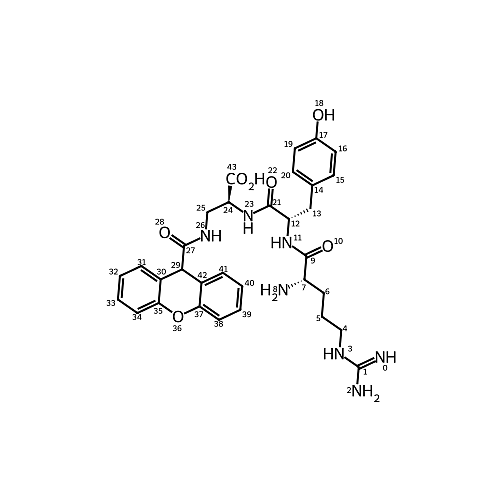 N=C(N)NCCC[C@H](N)C(=O)N[C@@H](Cc1ccc(O)cc1)C(=O)N[C@@H](CNC(=O)C1c2ccccc2Oc2ccccc21)C(=O)O